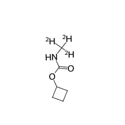 [2H]C([2H])([2H])NC(=O)OC1CCC1